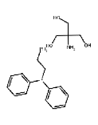 NC(CO)(CO)CO.PCCP(c1ccccc1)c1ccccc1